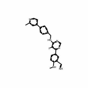 CNc1ccc(-c2ncnc(NCc3ccc(-c4ccnc(C)c4)cc3)c2F)cc1C=N